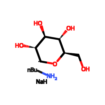 CCCCN.OC[C@H]1O[CH][C@H](O)[C@@H](O)[C@@H]1O.[NaH]